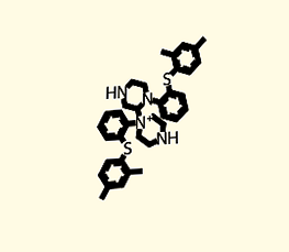 Cc1ccc(Sc2ccccc2N2CCNCC2[N+]2(c3ccccc3Sc3ccc(C)cc3C)CCNCC2)c(C)c1